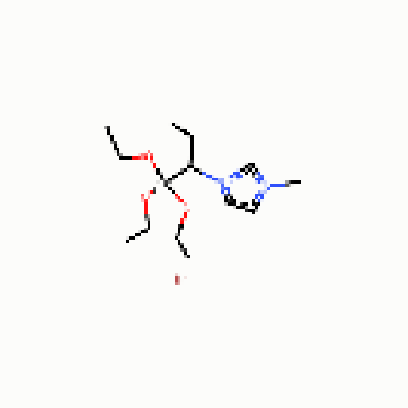 CCO[Si](OCC)(OCC)C(CC)[n+]1ccn(C)c1.[Br-]